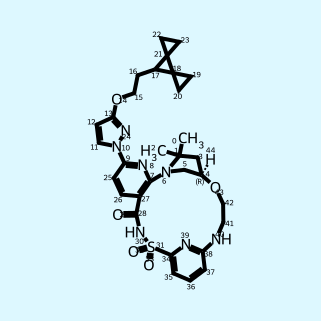 CC1(C)C[C@@H]2CN1c1nc(-n3ccc(OCCC4C5(CC5)C45CC5)n3)ccc1C(=O)NS(=O)(=O)c1cccc(n1)NCCO2